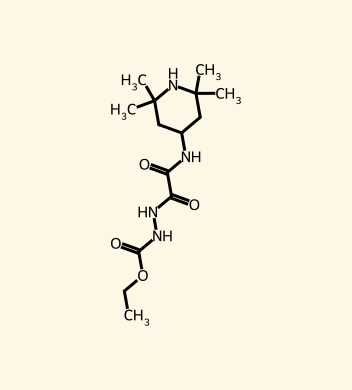 CCOC(=O)NNC(=O)C(=O)NC1CC(C)(C)NC(C)(C)C1